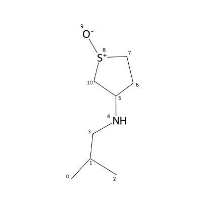 CC(C)CNC1CC[S+]([O-])C1